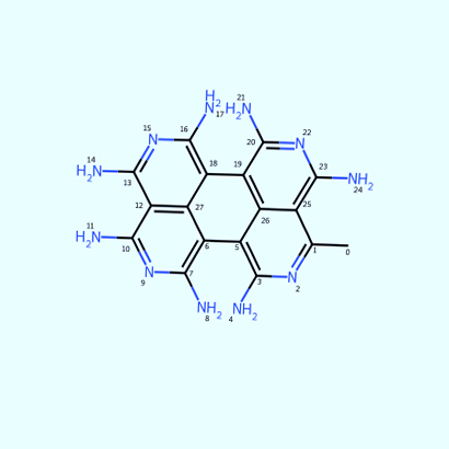 Cc1nc(N)c2c3c(N)nc(N)c4c(N)nc(N)c(c5c(N)nc(N)c1c25)c43